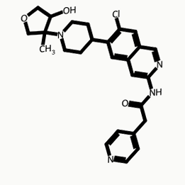 CC1(N2CCC(c3cc4cc(NC(=O)Cc5ccncc5)ncc4cc3Cl)CC2)COCC1O